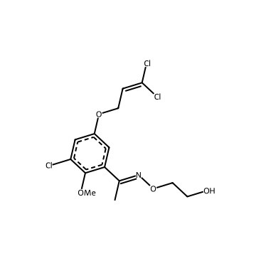 COc1c(Cl)cc(OCC=C(Cl)Cl)cc1/C(C)=N/OCCO